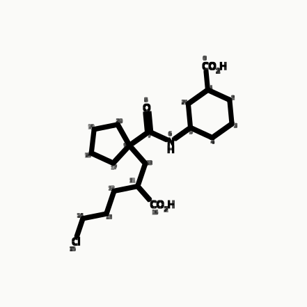 O=C(O)C1CCCC(NC(=O)C2(CC(CCCCl)C(=O)O)CCCC2)C1